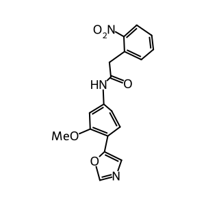 COc1cc(NC(=O)Cc2ccccc2[N+](=O)[O-])ccc1-c1cnco1